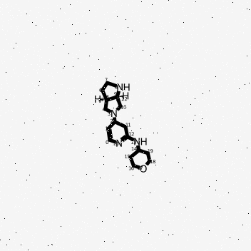 C1=CC(N2C[C@H]3CCN[C@H]3C2)CC(NC2CCOCC2)=N1